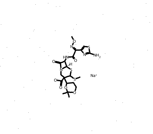 CON=C(C(=O)NC1C(=O)N2CC(C(=O)[O-])(C3CCOC(C)(C)O3)C(SC)S[C@H]12)c1csc(N)n1.[Na+]